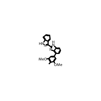 COc1cc(-c2cccc3[nH]c(-c4n[nH]c5ccccc45)nc23)cc(OC)c1C